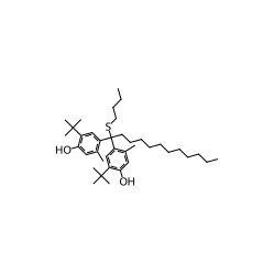 CCCCCCCCCCCC(SCCCC)(c1cc(C(C)(C)C)c(O)cc1C)c1cc(C(C)(C)C)c(O)cc1C